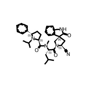 CC(C)C[C@@H](C(=O)N1C[C@]2(C[C@H]1C#N)C(=O)Nc1ccccc12)N(C)C(=O)[C@@H]1CC[C@@H](c2ccccc2)N1C(C)C